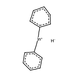 [H-].c1cc[c]([In+][c]2ccccc2)cc1